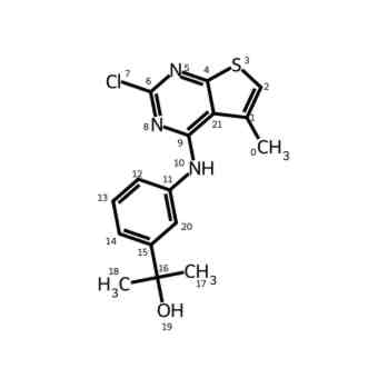 Cc1csc2nc(Cl)nc(Nc3cccc(C(C)(C)O)c3)c12